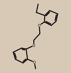 CCc1ccccc1OCCOc1ccccc1OC